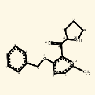 Cc1ccc(OCc2ccccc2)c(C(=O)C2CCCN2)n1